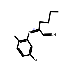 CCCC/C(C=N)=N/c1cc(S)ccc1C